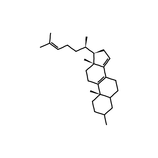 CC(C)=CCC[C@@H](C)[C@H]1CC=C2C3=C(CC[C@@]21C)[C@@]1(C)CCC(C)CC1CC3